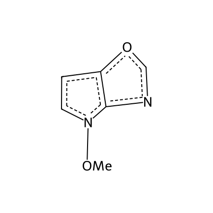 COn1ccc2ocnc21